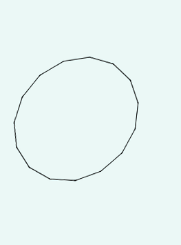 C1CCCCCCCCCCCCCC1